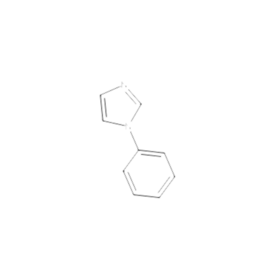 [c]1cccc(-n2ccnc2)c1